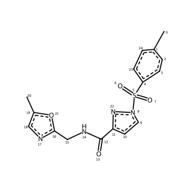 Cc1ccc(S(=O)(=O)n2ccc(C(=O)NCc3ncc(C)o3)n2)cc1